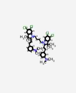 CN(C)c1cccc(/C=C/C2=[N+](CCCC[N+]3=C(/C=C/c4cccc(N(C)C)c4)C(C)(C)c4cc(Cl)c(Cl)cc43)c3cc(Cl)c(Cl)cc3C2(C)C)c1